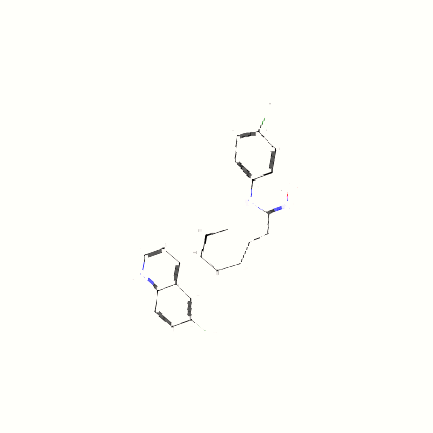 C[C@@H](/C(=N/O)Nc1ccc(Cl)cc1)[C@H]1CC[C@@H](c2ccnc3ccc(F)cc32)CC1